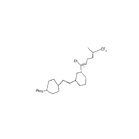 CCCC(C)C1CCC(CCC2CCCC(/C(=C/CCC(C)C(F)(F)F)CC)C2)CC1